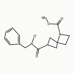 CC(C)(C)OC(=O)N1CCC12CN(C(=O)N(Cl)Cc1ccccc1)C2